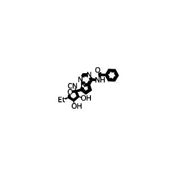 CC[C@H]1O[C@@](C#N)(c2ccc3c(NC(=O)c4ccccc4)ncnn23)[C@H](O)[C@@H]1O